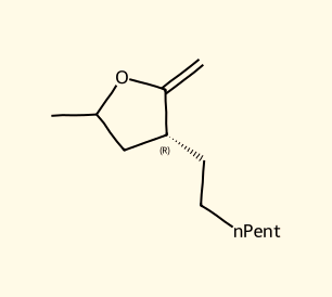 C=C1OC(C)C[C@H]1CCCCCCC